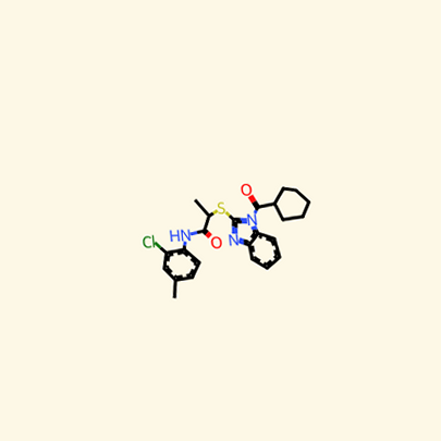 Cc1ccc(NC(=O)C(C)Sc2nc3ccccc3n2C(=O)C2CCCCC2)c(Cl)c1